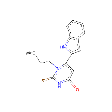 COCCn1c(-c2cc3ccccc3[nH]2)cc(=O)[nH]c1=S